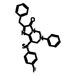 O=C1C(Cc2ccccc2)=NC2=C([Se]c3ccc(F)cc3)CN(c3ccccc3)CN12